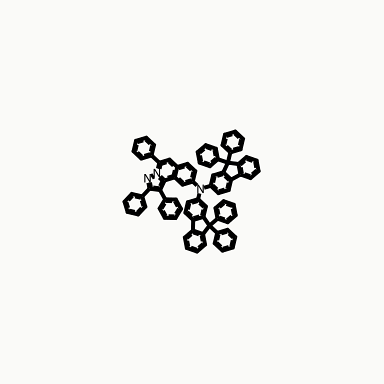 c1ccc(-c2nn3c(-c4ccccc4)cc4ccc(N(c5ccc6c(c5)C(c5ccccc5)(c5ccccc5)c5ccccc5-6)c5ccc6c(c5)C(c5ccccc5)(c5ccccc5)c5ccccc5-6)cc4c3c2-c2ccccc2)cc1